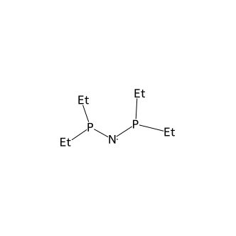 CCP(CC)[N]P(CC)CC